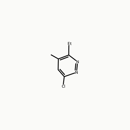 CCc1nnc(Cl)cc1C